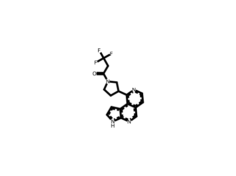 O=C(CC(F)(F)F)N1CCC(c2nccc3cnc4[nH]ccc4c23)C1